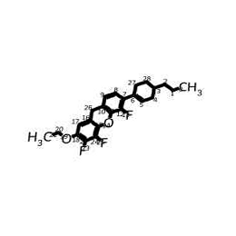 CCCC1CC=C(c2ccc3c(c2F)Oc2c(cc(OCC)c(F)c2F)C3)CC1